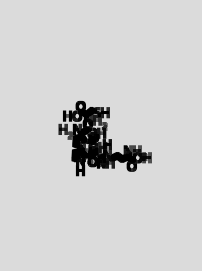 N=C(N)NCCC[C@H](N)C(=O)O.NCC(=O)O.N[C@@H](CS)C(=O)O.O=C(O)[C@@H]1CCCN1.O=C(O)[C@@H]1CCCN1